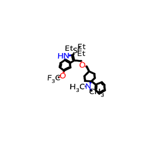 CC[Si](CC)(CC)c1[nH]c2ccc(OC(F)(F)F)cc2c1COCC1CCC(c2ccccc2)(N(C)C)CC1